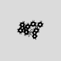 CC1(C)c2ccccc2-c2ccc(N(c3ccccc3)c3cccc(-c4ccc(C5(c6ccccc6)c6ccccc6-c6ccccc65)cc4)c3)cc21